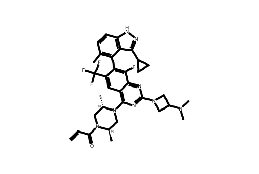 C=CC(=O)N1C[C@H](C)N(c2nc(N3CC(N(C)C)C3)nc3c(F)c(-c4c(C)ccc5[nH]nc(C6CC6)c45)c(C(F)(F)F)cc23)C[C@H]1C